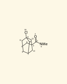 CNC(=O)C12CC3CC(CC(Cl)(C3)C1)C2